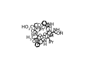 CC(C)C[C@H](NC(=O)[C@H](Cc1c[nH]c2ccccc12)NC(=O)[C@@H](N)CO)C(=O)N[C@@H](Cc1ccccc1)C(=O)N[C@H](C(=O)N[C@@H](CC(C)C)C(=O)N[C@@H](CCC(=O)O)C(=O)O)[C@@H](C)O